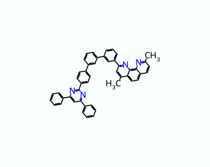 Cc1ccc2ccc3c(C)cc(-c4cccc(-c5cccc(-c6ccc(-c7nc(-c8ccccc8)cc(-c8ccccc8)n7)cc6)c5)c4)nc3c2n1